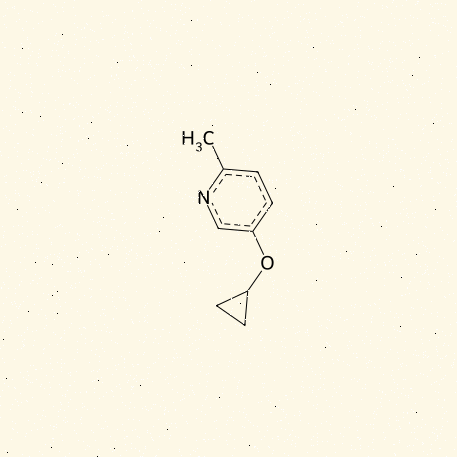 Cc1ccc(OC2CC2)cn1